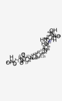 CC(CCC(=O)NC=O)N1C(=O)c2ccc(N3CCC4(CCC(C(C)(C)CN5CCC(N/C=C6/C=C(NC=O)C(C(C)(C)O)=CC6=N)CC5)CC4)CC3)cc2C1=O